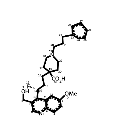 COc1ccc2ncc(CO)c([C@H](F)CCC3(C(=O)O)CCN(CCCc4ccccc4)CC3)c2c1